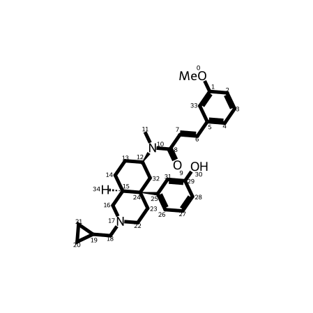 COc1cccc(C=CC(=O)N(C)[C@@H]2CC[C@@H]3CN(CC4CC4)CC[C@@]3(c3cccc(O)c3)C2)c1